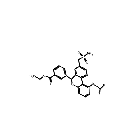 CCOC(=O)c1cccc(C2Oc3cccc(OC(F)F)c3-c3ccc(CS(N)(=O)=O)cc32)c1